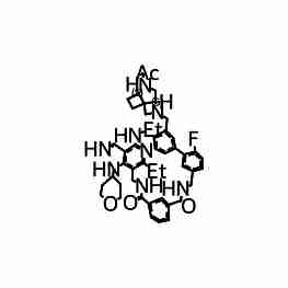 CCNc1nc(CC)c(CNC(=O)c2cccc(C(=O)NCc3ccc(F)c(-c4cccc(CN5CC67CC[C@@H]6N(C(C)=O)C[C@@H]57)c4)c3)c2)c(NC2CCOCC2)c1C=N